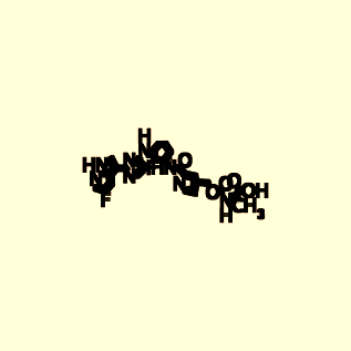 C[C@H](NC(=O)OCc1ccnc(C(=O)N[C@@H]2CCC[C@H](Nc3nc(-c4c[nH]c5ncc(F)cc45)ncc3F)C2)c1)C(=O)O